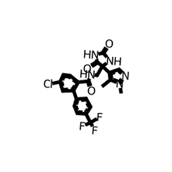 Cc1c(C2(CNC(=O)c3ccc(Cl)cc3-c3ccc(C(F)(F)F)cc3)NC(=O)NC2=O)cnn1C